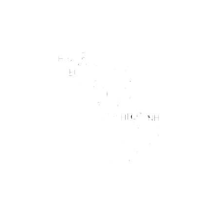 C=C(/C=C\C(=C/C)c1c2ccccc2c(-c2ccc(C(C)(CC)CC)cc2)c2ccccc12)Nc1cccc(-c2ccc3c(c2)CC3)c1